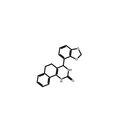 O=C1NC2=C(CCc3ccccc32)C(c2cccc3c2OCO3)N1